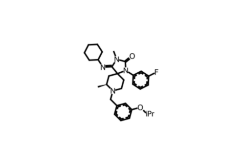 CC(C)Oc1cccc(CN2CCC3(C[C@@H]2C)C(=NC2CCCCC2)N(C)C(=O)N3c2cccc(F)c2)c1